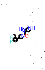 CCc1c(C2CCN(C(=O)c3n[nH]c4c3CCNC4)CC2)ccc(F)c1F